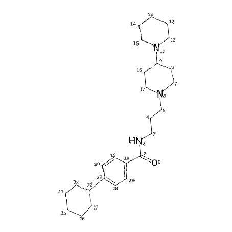 O=C(NCCCN1CCC(N2CCCCC2)CC1)c1ccc(C2CCCCC2)cc1